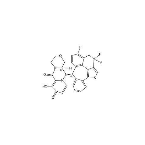 O=C1c2c(O)c(=O)ccn2N([C@@H]2c3ccccc3-c3scc4c3-c3c2ccc(F)c3CC4(F)F)[C@@H]2COCCN12